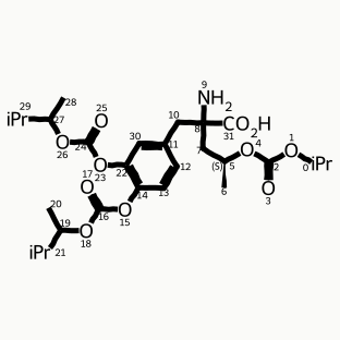 CC(C)OC(=O)O[C@@H](C)CC(N)(Cc1ccc(OC(=O)OC(C)C(C)C)c(OC(=O)OC(C)C(C)C)c1)C(=O)O